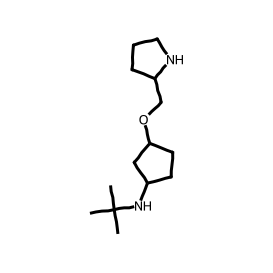 CC(C)(C)NC1CCC(OCC2CCCN2)C1